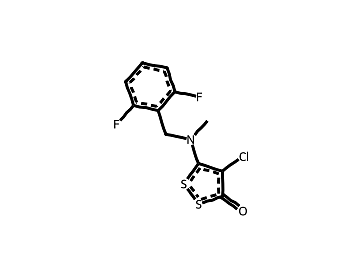 CN(Cc1c(F)cccc1F)c1ssc(=O)c1Cl